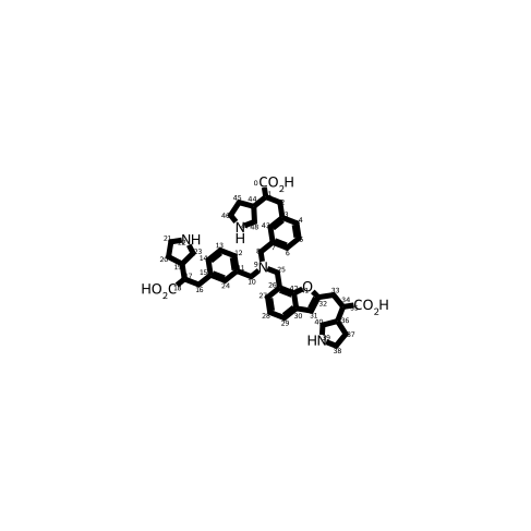 O=C(O)C(Cc1cccc(CN(Cc2cccc(CC(C(=O)O)C3CCNC3)c2)Cc2cccc3cc(CC(C(=O)O)C4CCNC4)oc23)c1)C1CCNC1